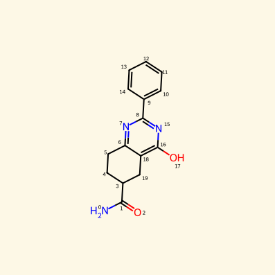 NC(=O)C1CCc2nc(-c3ccccc3)nc(O)c2C1